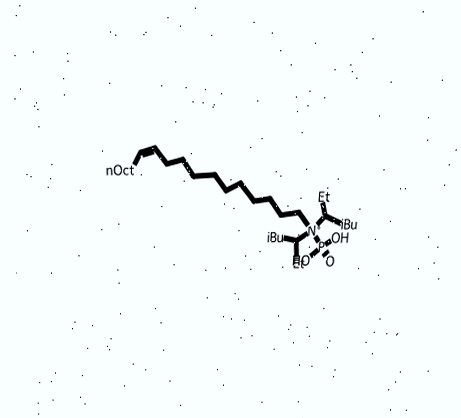 CCCCCCCC/C=C\CCCCCCCCCC[N+](C(CC)C(C)CC)(C(CC)C(C)CC)P(=O)(O)O